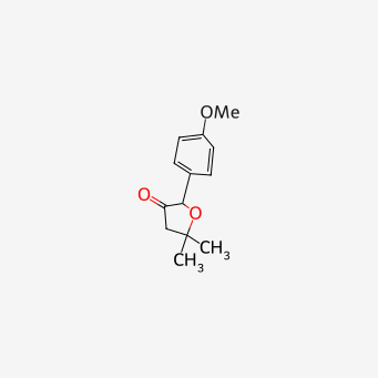 COc1ccc(C2OC(C)(C)CC2=O)cc1